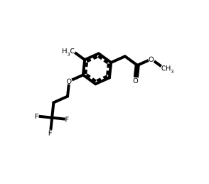 COC(=O)Cc1ccc(OCCC(F)(F)F)c(C)c1